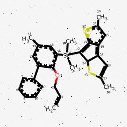 C=CCOc1c(-c2ccccc2)cc(C)cc1[Si](C)(C)C1=c2sc(C)cc2=C2C=C(C)SC21